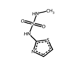 CNS(=O)(=O)Nc1nccs1